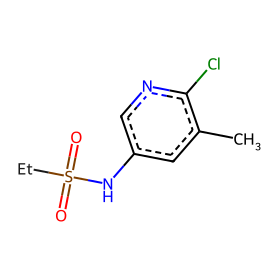 CCS(=O)(=O)Nc1cnc(Cl)c(C)c1